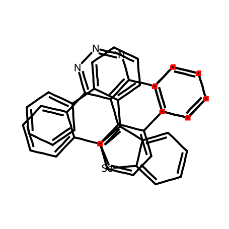 c1ccc(-c2ccccc2-c2c(-c3ccccc3)nnnc2-c2ccccc2-c2[se]c3ccccc3c2-c2ccccc2-c2ccccc2)cc1